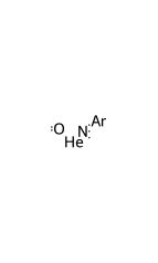 [Ar].[He].[N].[O]